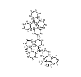 CC1(C)c2ccccc2-c2ccc(N(c3ccc(-c4cccc(-c5ccccc5-n5c6ccccc6c6ccccc65)c4)cc3)c3cccc4oc5ccccc5c34)cc21